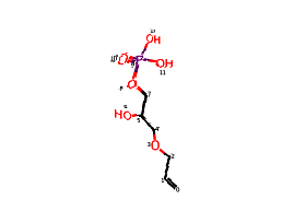 C=CCOCC(O)COP(=O)(O)O